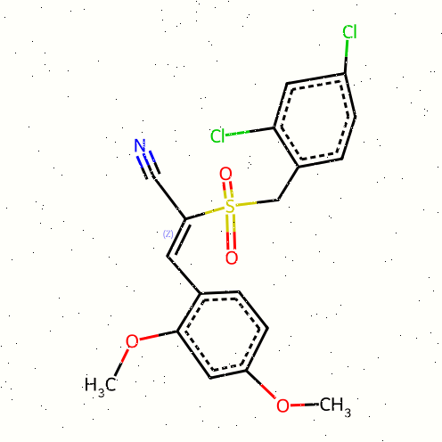 COc1ccc(/C=C(/C#N)S(=O)(=O)Cc2ccc(Cl)cc2Cl)c(OC)c1